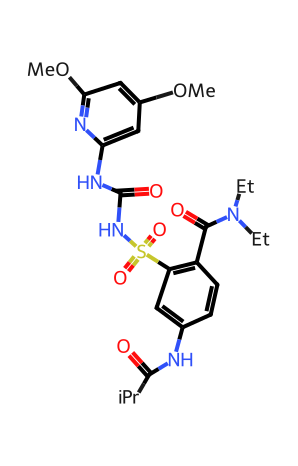 CCN(CC)C(=O)c1ccc(NC(=O)C(C)C)cc1S(=O)(=O)NC(=O)Nc1cc(OC)cc(OC)n1